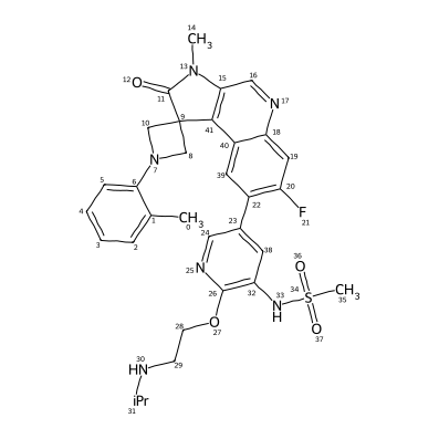 Cc1ccccc1N1CC2(C1)C(=O)N(C)c1cnc3cc(F)c(-c4cnc(OCCNC(C)C)c(NS(C)(=O)=O)c4)cc3c12